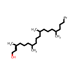 CC(=CCO)CCCC(C)CCCC(C)CCCC(C)CCCC(C)C